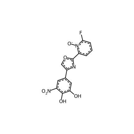 O=[N+]([O-])c1cc(-c2coc(-c3cccc(F)[n+]3[O-])n2)cc(O)c1O